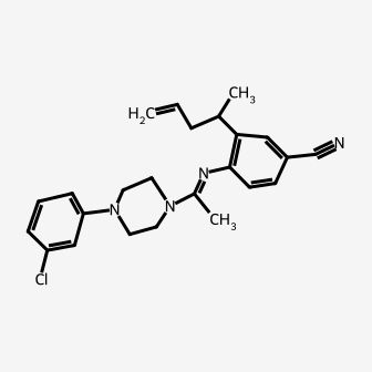 C=CCC(C)c1cc(C#N)ccc1/N=C(\C)N1CCN(c2cccc(Cl)c2)CC1